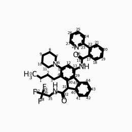 CCCCc1c(N2CCCCC2)cc(NC(=O)c2ccccc2-c2ccccn2)c2c1C(C(=O)NCC(F)(F)F)c1ccccc1-2